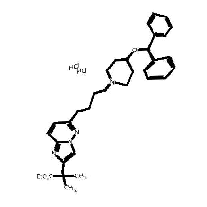 CCOC(=O)C(C)(C)c1cn2nc(CCCCN3CCC(OC(c4ccccc4)c4ccccc4)CC3)ccc2n1.Cl.Cl